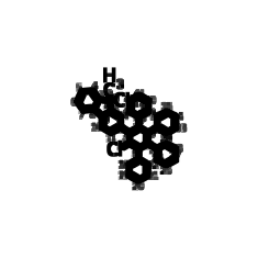 CC1(C)c2ccccc2-c2ccc(-c3c(Cl)c(-c4ccccc4)c(-c4ccccc4)c(-c4ccccc4)c3-c3ccccc3)cc21